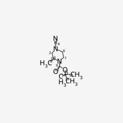 C[C@H]1CN(C#N)CCN1C(=O)OC(C)(C)C